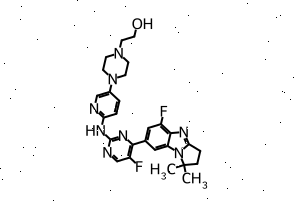 CC1(C)CCc2nc3c(F)cc(-c4nc(Nc5ccc(N6CCN(CCO)CC6)cn5)ncc4F)cc3n21